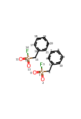 O=S(=O)(F)Cc1ccccc1.O=S(=O)(F)Cc1ccccc1